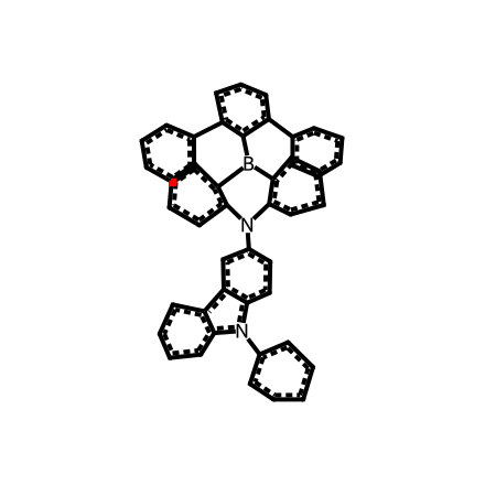 c1ccc(-c2cccc(-c3ccccc3)c2B2c3ccccc3N(c3ccc4c(c3)c3ccccc3n4-c3ccccc3)c3ccccc32)cc1